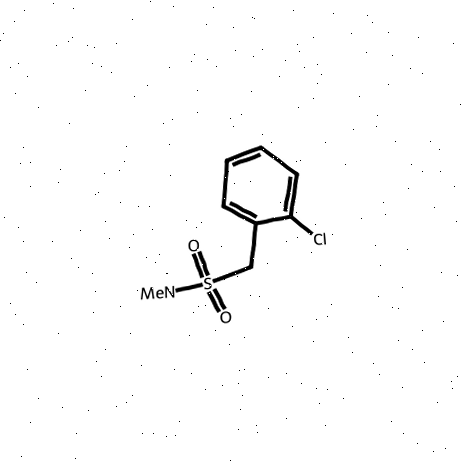 CNS(=O)(=O)Cc1ccccc1Cl